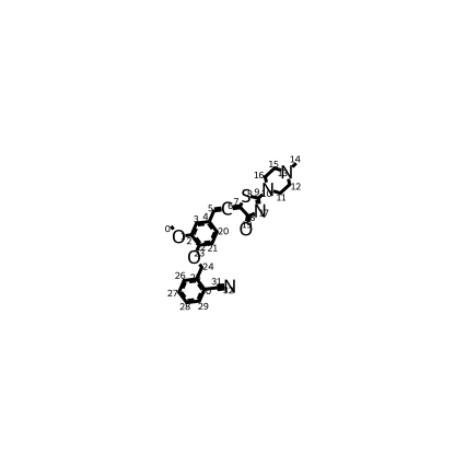 COc1cc(C=C=C2SC(N3CCN(C)CC3)=NC2=O)ccc1OCc1ccccc1C#N